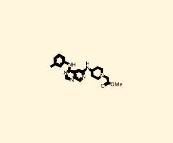 COC(=O)CN1CCC(Nc2cc3c(Nc4cccc(C)c4)ncnc3cn2)CC1